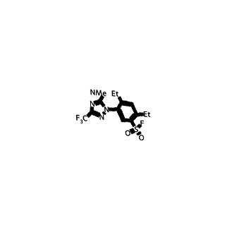 CCc1cc(CC)c(S(=O)(=O)F)cc1-n1nc(C(F)(F)F)nc1NC